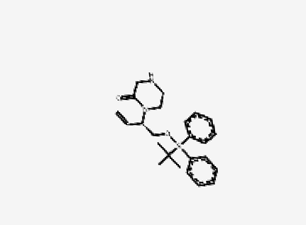 C=C[C@H](CO[Si](c1ccccc1)(c1ccccc1)C(C)(C)C)N1CCNCC1=O